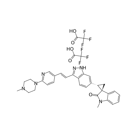 CN1CCN(c2ccc(C=Cc3n[nH]c4cc([C@@H]5C[C@@]56C(=O)N(C)c5ccccc56)ccc34)cn2)CC1.O=C(O)C(F)(F)F.O=C(O)C(F)(F)F